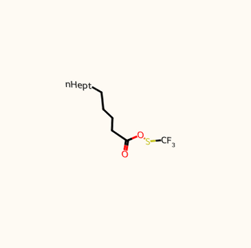 CCCCCCCCCCCC(=O)OSC(F)(F)F